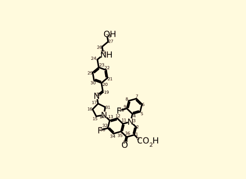 O=C(O)c1cn(-c2ccccc2F)c2cc(N3CCC(N=Cc4ccc(CNCCO)cc4)C3)c(F)cc2c1=O